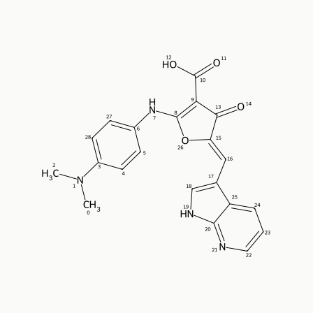 CN(C)c1ccc(NC2=C(C(=O)O)C(=O)C(=Cc3c[nH]c4ncccc34)O2)cc1